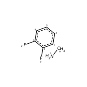 CN.Fc1ccccc1F